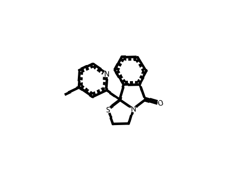 Cc1ccnc(C23SCCN2C(=O)c2ccccc23)c1